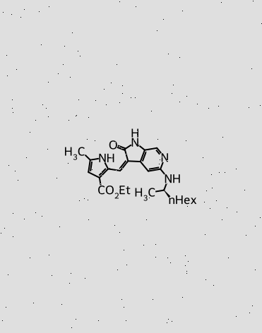 CCCCCC[C@@H](C)Nc1cc2c(cn1)NC(=O)/C2=C\c1[nH]c(C)cc1C(=O)OCC